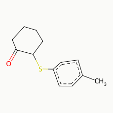 Cc1ccc(SC2CCCCC2=O)cc1